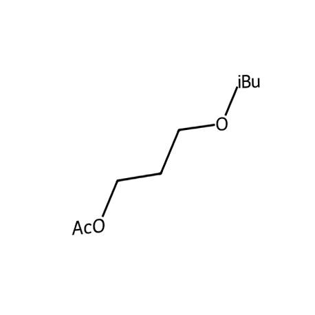 CCC(C)OCCCOC(C)=O